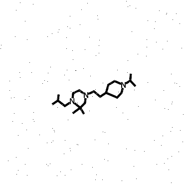 CC(C)CN1CCN(CCC2CCN(C(C)C)CC2)CC1(C)C